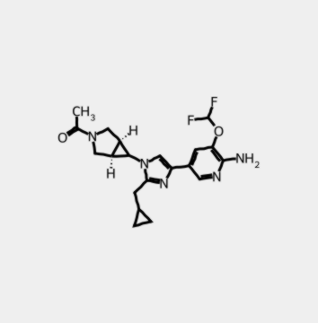 CC(=O)N1C[C@@H]2C(n3cc(-c4cnc(N)c(OC(F)F)c4)nc3CC3CC3)[C@@H]2C1